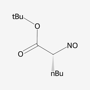 CCCC[C@@H](N=O)C(=O)OC(C)(C)C